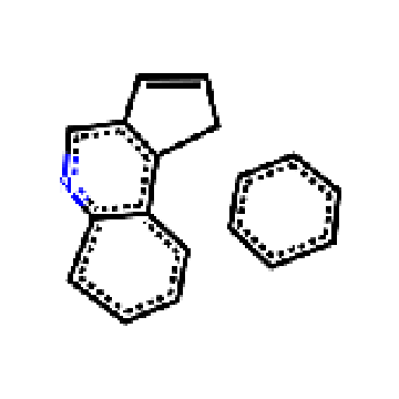 C1=Cc2cnc3ccccc3c2C1.c1ccccc1